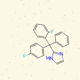 Fc1ccc(C(c2ccccc2)(c2ncc[nH]2)c2ccccc2F)cc1